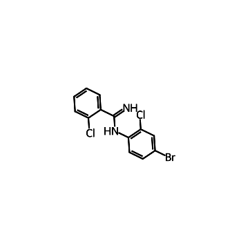 N=C(Nc1ccc(Br)cc1Cl)c1ccccc1Cl